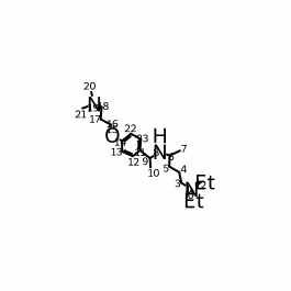 CCN(CC)CCCC(C)NC(C)c1ccc(OCCCN(C)C)cc1